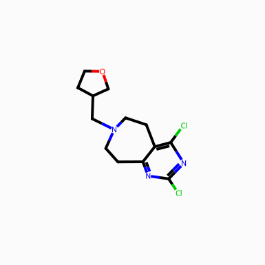 Clc1nc(Cl)c2c(n1)CCN(CC1CCOC1)CC2